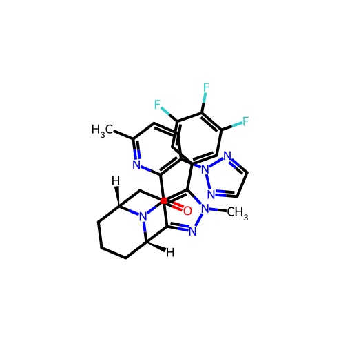 Cc1ccc(-n2nccn2)c(C(=O)N2[C@@H]3CCC[C@H]2c2nn(C)c(-c4cc(F)c(F)c(F)c4)c2C3)n1